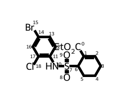 CCOC(=O)C1=CCCCC1S(=O)(=O)Nc1ccc(Br)cc1Cl